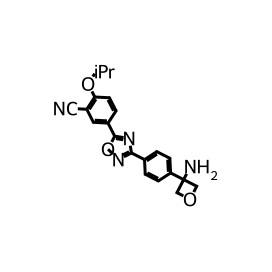 CC(C)Oc1ccc(-c2nc(-c3ccc(C4(N)COC4)cc3)no2)cc1C#N